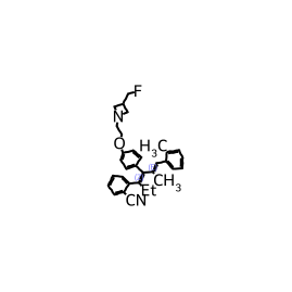 CC/C(=C(\C(C)=C\c1ccccc1C)c1ccc(OCCN2CC(CF)C2)cc1)c1ccccc1C#N